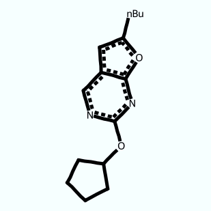 CCCCc1cc2cnc(OC3CCCC3)nc2o1